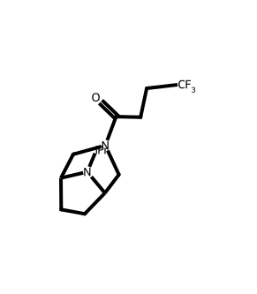 CC(C)N1C2CCC1CN(C(=O)CCC(F)(F)F)C2